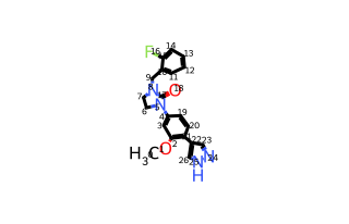 COc1cc(N2CCN(Cc3ccccc3F)C2=O)ccc1-c1cn[nH]c1